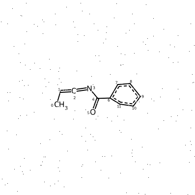 CC=C=NC(=O)c1ccccc1